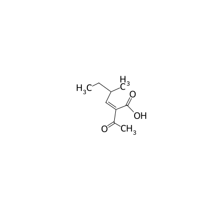 CCC(C)C=C(C(C)=O)C(=O)O